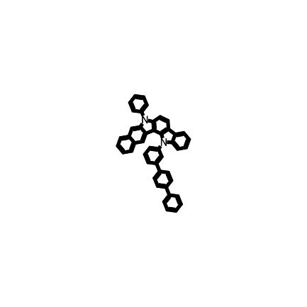 c1ccc(-c2ccc(-c3cccc(-n4c5ccccc5c5ccc6c(c7cc8ccccc8cc7n6-c6ccccc6)c54)c3)cc2)cc1